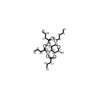 CCCCO[C@@H]1O[C@@H](C)[C@H](OC(=O)CCC)[C@@H](OC(=O)CCC)[C@H]1OC(=O)CCC